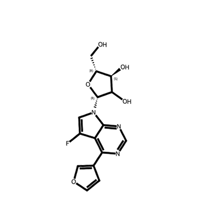 OC[C@H]1O[C@@H](n2cc(F)c3c(-c4ccoc4)ncnc32)C(O)[C@@H]1O